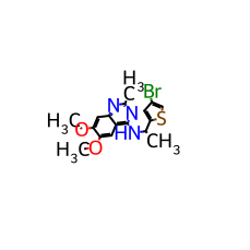 COc1cc2nc(C)nc(NC(C)c3cc(Br)cs3)c2cc1OC